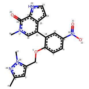 Cc1cc(COc2ccc([N+](=O)[O-])cc2-c2cn(C)c(=O)c3[nH]ccc23)n(C)n1